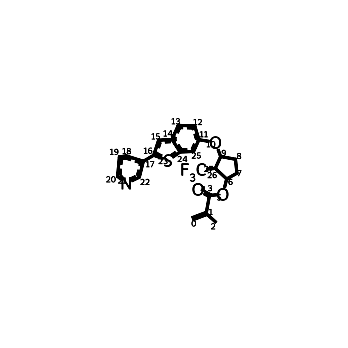 C=C(C)C(=O)OC1CCC(Oc2ccc3cc(-c4cccnc4)sc3c2)C1C(F)(F)F